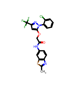 Cc1nc2ccc(NC(=O)COc3cc(C(F)(F)F)nn3-c3ccccc3Cl)cc2s1